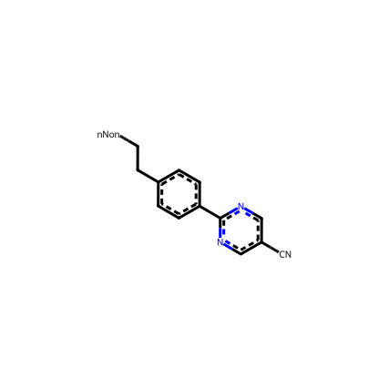 CCCCCCCCCCCc1ccc(-c2ncc(C#N)cn2)cc1